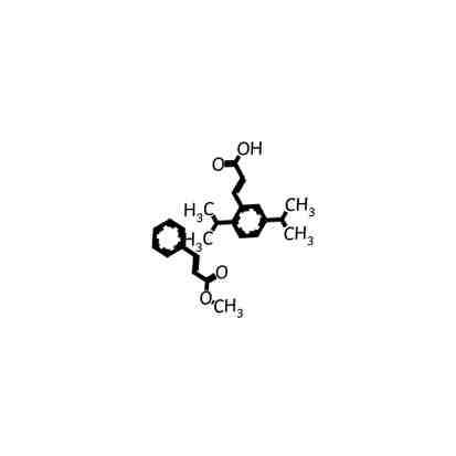 CC(C)c1ccc(C(C)C)c(C=CC(=O)O)c1.COC(=O)C=Cc1ccccc1